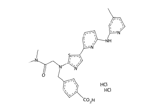 Cc1ccnc(Nc2cccc(-c3cnc(N(CC(=O)N(C)C)Cc4ccc(C(=O)O)cc4)s3)n2)c1.Cl.Cl